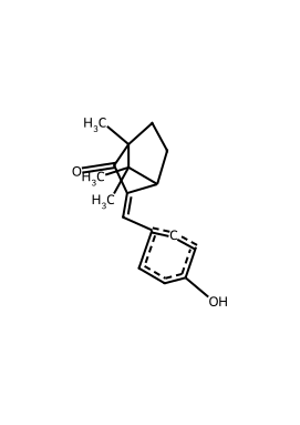 CC12CCC(/C(=C\c3ccc(O)cc3)C1=O)C2(C)C